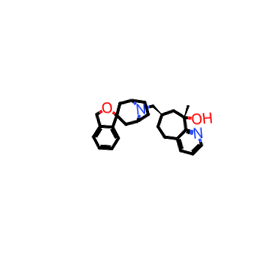 C[C@]1(O)C[C@H](CN2C3CCC2CC2(C3)OCc3ccccc32)CCc2cccnc21